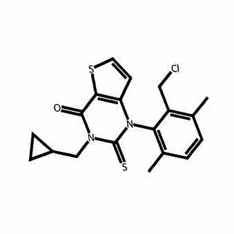 Cc1ccc(C)c(-n2c(=S)n(CC3CC3)c(=O)c3sccc32)c1CCl